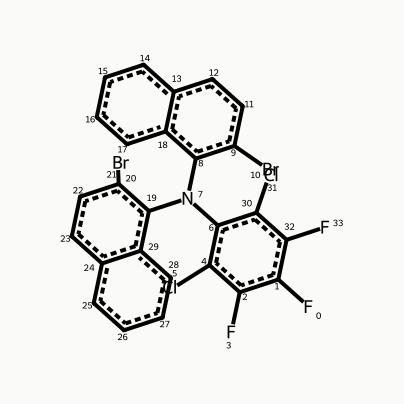 Fc1c(F)c(Cl)c(N(c2c(Br)ccc3ccccc23)c2c(Br)ccc3ccccc23)c(Cl)c1F